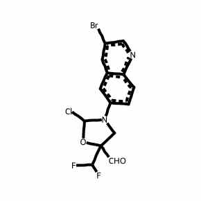 O=CC1(C(F)F)CN(c2ccc3ncc(Br)cc3c2)C(Cl)O1